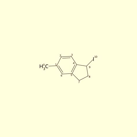 Cc1ccc2c(c1)CCC2I